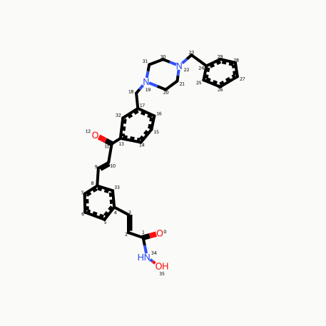 O=C(/C=C/c1cccc(/C=C/C(=O)c2cccc(CN3CCN(Cc4ccccc4)CC3)c2)c1)NO